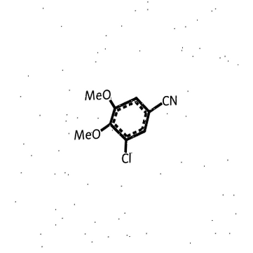 COc1cc(C#N)cc(Cl)c1OC